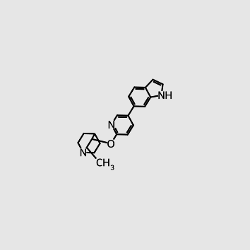 CC1C(Oc2ccc(-c3ccc4cc[nH]c4c3)cn2)C2CCN1CC2